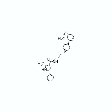 Cc1cccc(N2CCN(CCCCNC(=O)C3C=C(c4ccccc4)NC3C)CC2)c1C